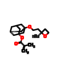 C=C(C)C(=O)OC12CC3CC(CC(OCCC4(CCCC)CCO4)(C3)C1)C2